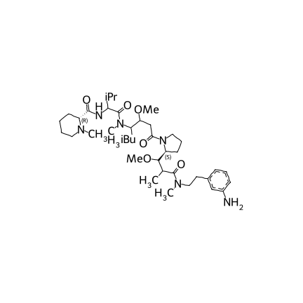 CCC(C)C(C(CC(=O)N1CCC[C@H]1C(OC)C(C)C(=O)N(C)CCc1cccc(N)c1)OC)N(C)C(=O)C(NC(=O)[C@H]1CCCCN1C)C(C)C